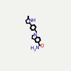 C=C1CCC(c2ccc(CN3CCc4cc(C(N)=O)ccc43)cc2)N1